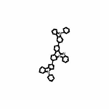 c1ccc(-n2c3ccccc3c3cc(-c4ccc5c6ccc(-c7ccc8c(c7)c7ccccc7n8-c7ccccc7)cc6n6c7ccccc7nc6c5c4)ccc32)cc1